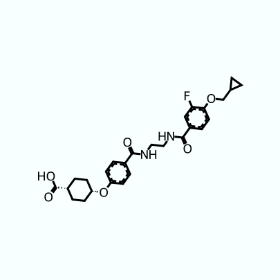 O=C(NCCNC(=O)c1ccc(OCC2CC2)c(F)c1)c1ccc(O[C@H]2CC[C@@H](C(=O)O)CC2)cc1